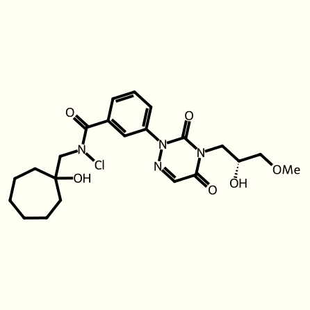 COC[C@H](O)Cn1c(=O)cnn(-c2cccc(C(=O)N(Cl)CC3(O)CCCCCC3)c2)c1=O